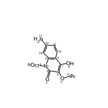 CCCCCCCCn1c(=O)c(OC(C)C)c(O)c2ccc(N)cc21